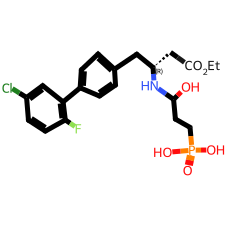 CCOC(=O)C[C@@H](Cc1ccc(-c2cc(Cl)ccc2F)cc1)NC(O)CCP(=O)(O)O